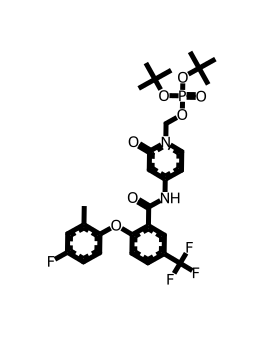 Cc1cc(F)ccc1Oc1ccc(C(F)(F)F)cc1C(=O)Nc1ccn(COP(=O)(OC(C)(C)C)OC(C)(C)C)c(=O)c1